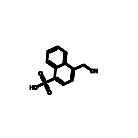 O=S(=O)(O)c1ccc(CO)c2ccccc12